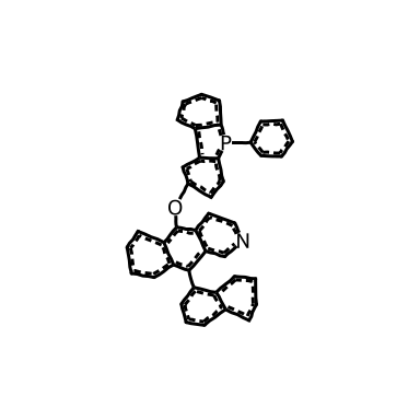 c1ccc(-p2c3ccccc3c3cc(Oc4c5ccccc5c(-c5cccc6ccccc56)c5cnccc45)ccc32)cc1